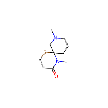 CN1CCCC2(C1)SCCC(=O)N2C